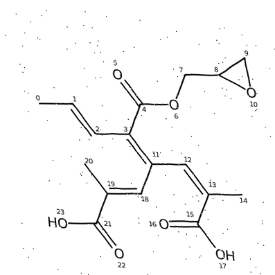 CC=CC(C(=O)OCC1CO1)=C(C=C(C)C(=O)O)C=C(C)C(=O)O